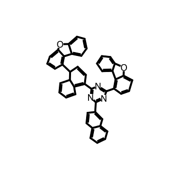 C1=CC2=C(c3nc(-c4ccc5ccccc5c4)nc(-c4cccc5oc6ccccc6c45)n3)C=CC(c3cccc4oc5ccccc5c34)C2C=C1